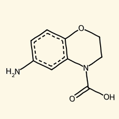 Nc1ccc2c(c1)N(C(=O)O)CCO2